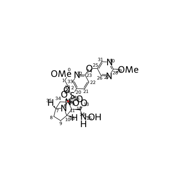 COCCOC(=O)N1[C@@H]2CC[C@H]1[C@H](C(=O)NO)N(S(=O)(=O)c1ccc(Oc3cnc(OC)nc3)nc1)C2